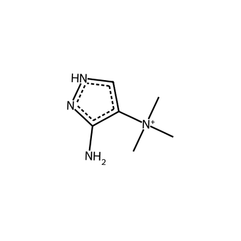 C[N+](C)(C)c1c[nH]nc1N